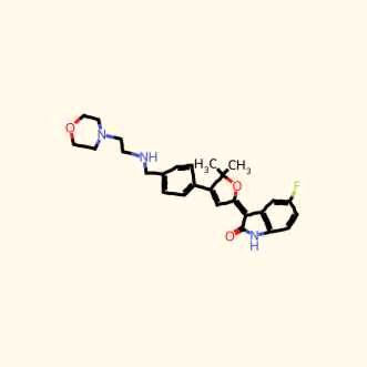 CC1(C)O/C(=C2/C(=O)Nc3ccc(F)cc32)C=C1c1ccc(CNCCN2CCOCC2)cc1